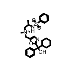 CC(C[N+](C)(C)Cc1cnc(C(O)(c2ccccc2)C2CCCCC2)o1)NS(=O)(=O)c1ccccc1